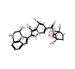 CCC1CNc2cccc3cc(-c4nn5cc(C(=O)N6C[C@H]7CC[C@@H]6[C@@H]7N)cc(F)c5c4C)n1c23